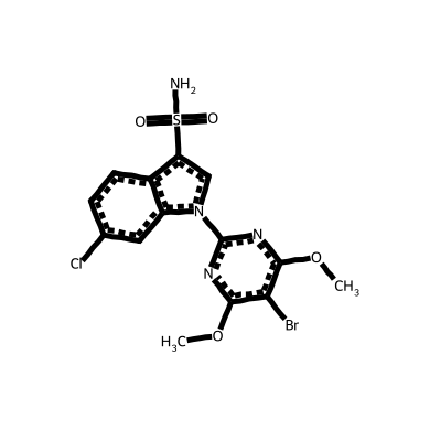 COc1nc(-n2cc(S(N)(=O)=O)c3ccc(Cl)cc32)nc(OC)c1Br